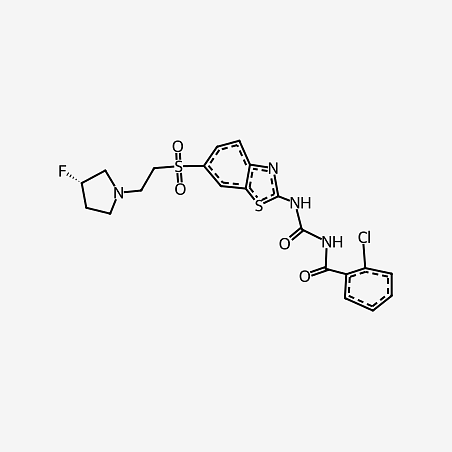 O=C(NC(=O)c1ccccc1Cl)Nc1nc2ccc(S(=O)(=O)CCN3CC[C@H](F)C3)cc2s1